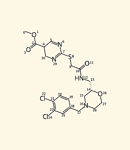 COC(=O)C1C=NC(SCC(=O)NC[C@H]2CN(Cc3ccc(Cl)c(Cl)c3)CCO2)=NC1